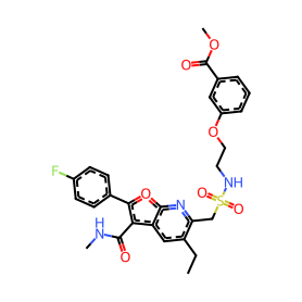 CCc1cc2c(C(=O)NC)c(-c3ccc(F)cc3)oc2nc1CS(=O)(=O)NCCOc1cccc(C(=O)OC)c1